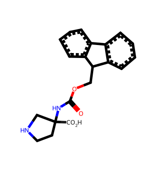 O=C(NC1(C(=O)O)CCNC1)OCC1c2ccccc2-c2ccccc21